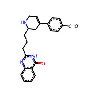 O=Cc1ccc(C2=CCNC(CCCc3nc4ccccc4c(=O)[nH]3)C2)cc1